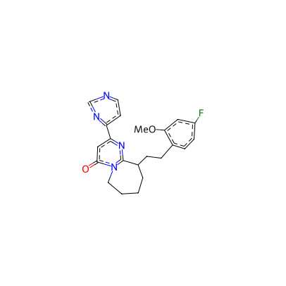 COc1cc(F)ccc1CCC1CCCCn2c1nc(-c1ccncn1)cc2=O